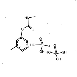 CNC(=O)Oc1cccc(C)c1.O=P(O)(O)S.O=P(O)(O)S